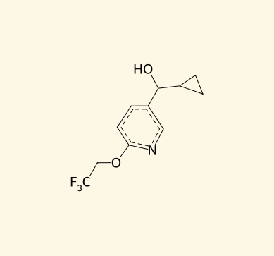 OC(c1ccc(OCC(F)(F)F)nc1)C1CC1